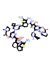 CCC/C(C(=N)[C@H]1CCC(C2CN(c3cc(O[C@@H](C)[C@@H]4CCCN4C)nc(/C(O)=C4\CCC[C@@]5(CCCc6sc(N)c(C#N)c65)C4=N)n3)CC3(CCC3)N2)c2sc(N)c(N)c21)=C(/O)c1cc(N2CCNC3(CC3)C2)nc(O[C@@H](C)[C@@H]2CCCN2C)n1